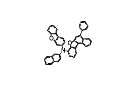 c1ccc(-c2cc3oc4c(N(c5ccc6ccccc6c5)c5ccc6c(c5)oc5ccccc56)cccc4c3c3ccccc23)cc1